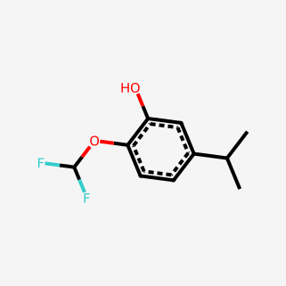 CC(C)c1ccc(OC(F)F)c(O)c1